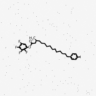 CC(CCCCCCCCCCCCc1ccc(I)cc1)CC(=O)Oc1cc(F)c(F)c(F)c1F